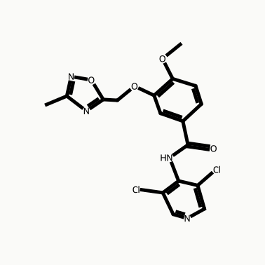 COc1ccc(C(=O)Nc2c(Cl)cncc2Cl)cc1OCc1nc(C)no1